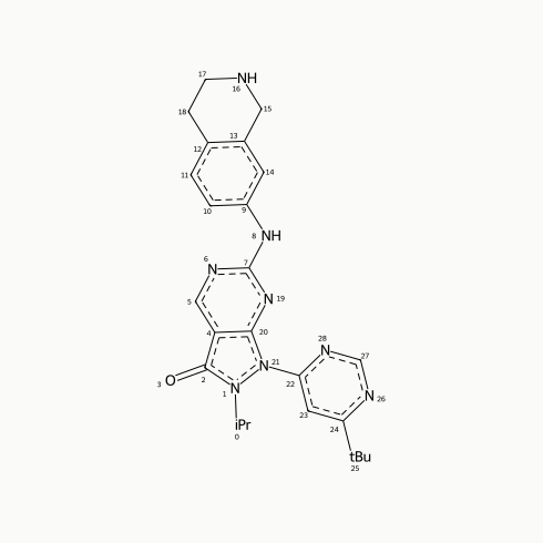 CC(C)n1c(=O)c2cnc(Nc3ccc4c(c3)CNCC4)nc2n1-c1cc(C(C)(C)C)ncn1